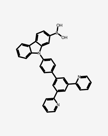 OB(O)c1ccc2c3ccccc3n(-c3ccc(-c4cc(-c5ccccn5)cc(-c5ccccn5)c4)cc3)c2c1